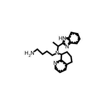 CC(c1nc2ccccc2[nH]1)N(CCCCN)C1CCCc2cccnc21